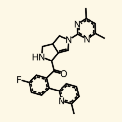 Cc1cccc(-c2ccc(F)cc2C(=O)C2NCC3CN(c4nc(C)cc(C)n4)C=C32)n1